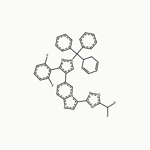 Fc1cccc(F)c1-c1nn(C(c2ccccc2)(c2ccccc2)C2C=CC=CC2)cc1-c1ccc2ncc(-c3noc(C(F)F)n3)n2c1